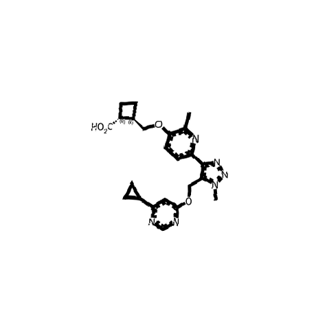 Cc1nc(-c2nnn(C)c2COc2cc(C3CC3)ncn2)ccc1OC[C@@H]1CC[C@H]1C(=O)O